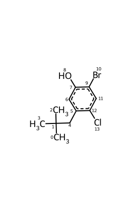 CC(C)(C)Cc1cc(O)c(Br)cc1Cl